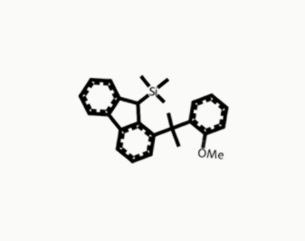 COc1ccccc1C(C)(C)c1cccc2c1C([Si](C)(C)C)c1ccccc1-2